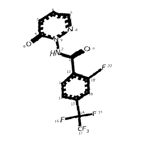 O=C(Nn1ncccc1=O)c1ccc(C(F)(F)C(F)(F)F)cc1F